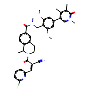 COc1cc(-c2cn(C)c(=O)c(C)c2C)cc(OC)c1CN(C)C(=O)c1ccc2c(c1)CCN(C(=O)/C(C#N)=C\c1cccc(Br)n1)C2C